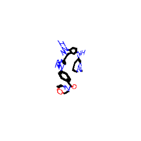 CN1CCCC(Nc2ccc3[nH]nc(-c4cn(-c5ccc(C(=O)N6CCOCC6)cc5)nn4)c3c2)C1